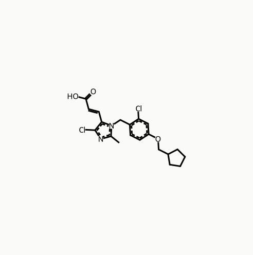 Cc1nc(Cl)c(C=CC(=O)O)n1Cc1ccc(OCC2CCCC2)cc1Cl